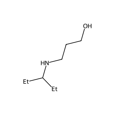 CCC(CC)NCCCO